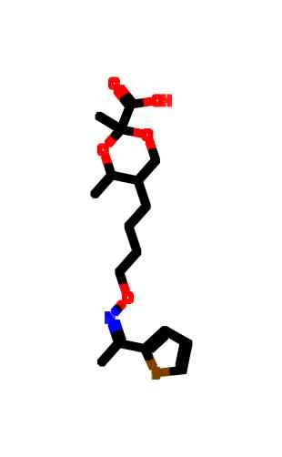 CC(=NOCCCCC1COC(C)(C(=O)O)OC1C)c1cccs1